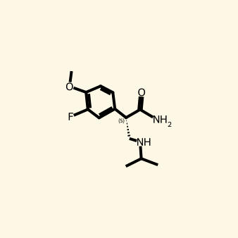 COc1ccc([C@@H](CNC(C)C)C(N)=O)cc1F